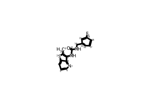 Cc1sc2cccnc2c1NC(=O)NCc1cccc(F)c1